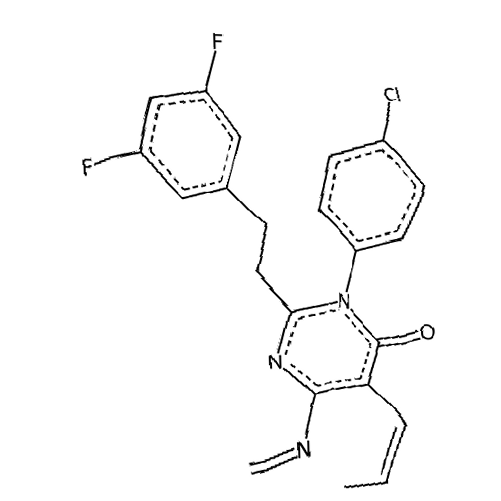 C=Nc1nc(CCc2cc(F)cc(F)c2)n(-c2ccc(Cl)cc2)c(=O)c1/C=C\C